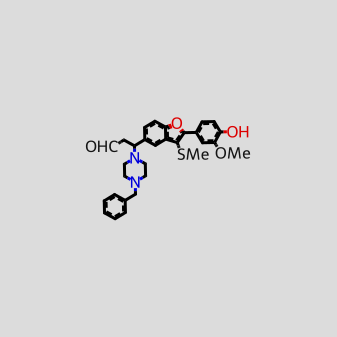 COc1cc(-c2oc3ccc(C(CC=O)N4CCN(Cc5ccccc5)CC4)cc3c2SC)ccc1O